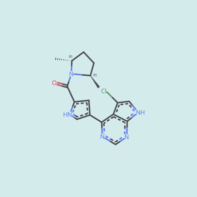 C[C@@H]1CC[C@@H](C)N1C(=O)c1cc(-c2ncnc3[nH]cc(Cl)c23)c[nH]1